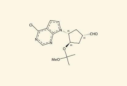 COC(C)(C)O[C@@H]1C[C@@H](C=O)C[C@H]1n1ccc2c(Cl)ncnc21